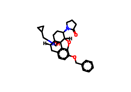 O=C1CCCN1[C@@H]1CC[C@@]2(O)[C@H]3Cc4ccc(OCc5ccccc5)c5c4[C@@]2(CCN3CC2CC2)[C@H]1O5